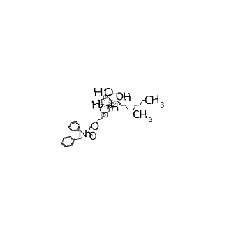 CCCCC(C)CCC=C(O)[C@H]1[C@@H]2C[C@@H](CCOCC(=O)N(Cc3ccccc3)c3ccccc3)C[C@H]2C[C@@H]1O